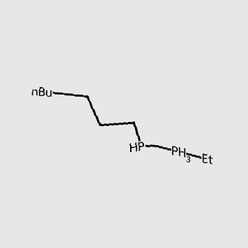 CCCCCCCP[PH3]CC